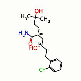 CC(C)(O)CC[C@H](C[C@@H](O)[CH]Cc1ccccc1Cl)C(N)=O